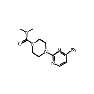 CC(C)c1ccnc(N2CCN(C(=O)N(C)C)CC2)n1